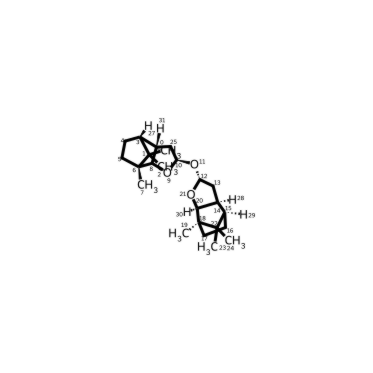 CC1(C)[C@@H]2CC[C@@]1(C)C1O[C@H](O[C@@H]3C[C@H]4[C@H]5CC[C@@](C)([C@H]4O3)C5(C)C)C[C@H]12